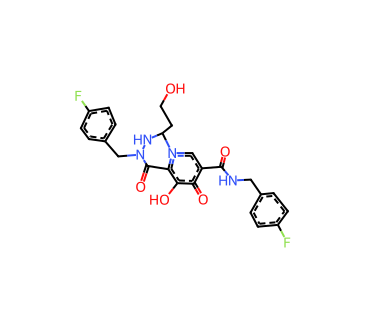 O=C(NCc1ccc(F)cc1)c1cn2c(c(O)c1=O)C(=O)N(Cc1ccc(F)cc1)NC2CCO